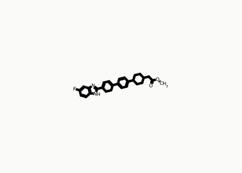 COC(=O)CC1CCC(c2ccc(C3=CC=C(c4nc5cc(F)ccc5[nH]4)CC3)cc2)CC1